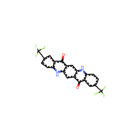 O=c1c2cc(C(F)(F)F)ccc2[nH]c2cc3c(=O)c4cc(C(F)(F)F)ccc4[nH]c3cc12